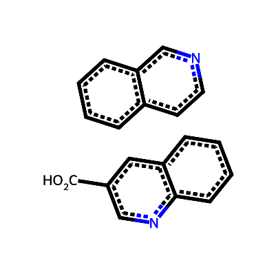 O=C(O)c1cnc2ccccc2c1.c1ccc2cnccc2c1